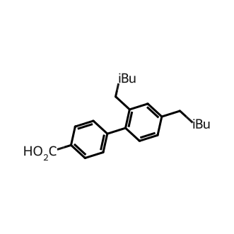 CCC(C)Cc1ccc(-c2ccc(C(=O)O)cc2)c(CC(C)CC)c1